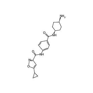 N[C@H]1CC[C@@H](NC(=O)c2ccc(NC(=O)c3cc(C4CC4)on3)cc2)CC1